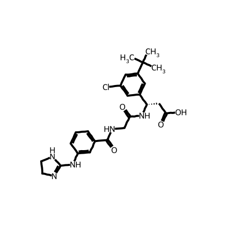 CC(C)(C)c1cc(Cl)cc([C@H](CC(=O)O)NC(=O)CNC(=O)c2cccc(NC3=NCCN3)c2)c1